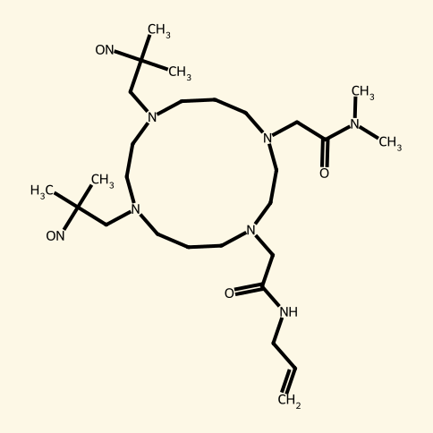 C=CCNC(=O)CN1CCCN(CC(C)(C)N=O)CCN(CC(C)(C)N=O)CCCN(CC(=O)N(C)C)CC1